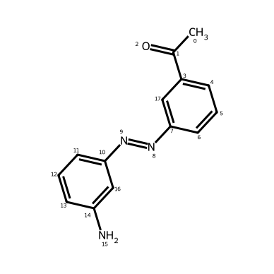 CC(=O)c1cccc(N=Nc2cccc(N)c2)c1